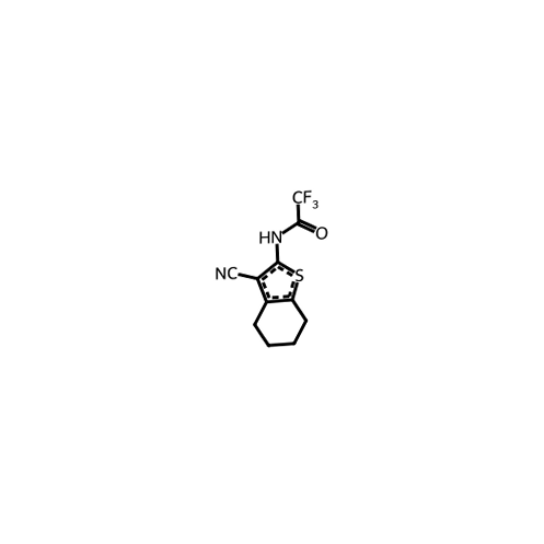 N#Cc1c(NC(=O)C(F)(F)F)sc2c1CCCC2